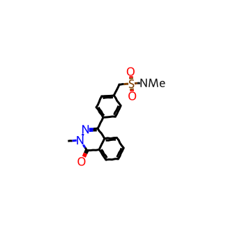 CNS(=O)(=O)Cc1ccc(-c2nn(C)c(=O)c3ccccc23)cc1